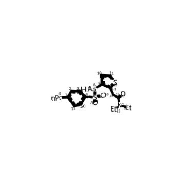 CCCc1ccc(S(=O)(=O)[AsH]c2ccsc2CC(=O)N(CC)CC)cc1